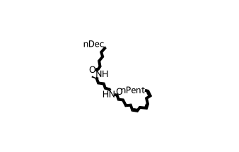 CCCCC/C=C\C/C=C\C/C=C\CCCCC(=O)NCCCC[C@@H](C)NC(=O)CCCCCCCCCCCCCCC